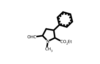 CCOC(=O)C1C(c2ccccc2)CC(C=O)N1C